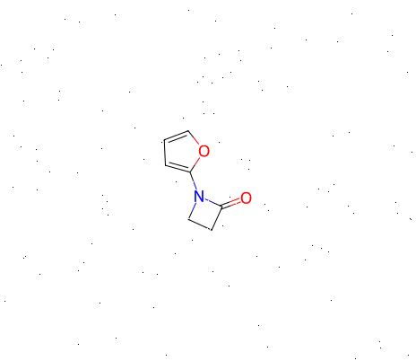 O=C1CCN1c1ccco1